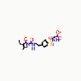 CCC1=C(C)CN(C(=O)NCCc2ccc(S(=O)(=O)NCC(=O)OC)cc2)C1=O